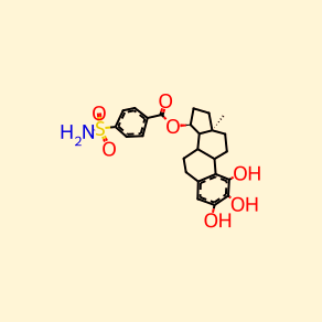 C[C@]12CCC3c4c(cc(O)c(O)c4O)CCC3C1[C@@H](OC(=O)c1ccc(S(N)(=O)=O)cc1)CC2